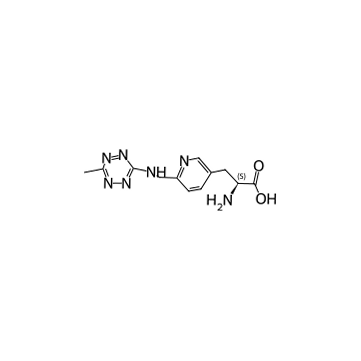 Cc1nnc(NCc2ccc(C[C@H](N)C(=O)O)cn2)nn1